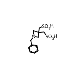 O=S(=O)(O)CC1(CS(=O)(=O)O)CN(Cc2ccccc2)C1